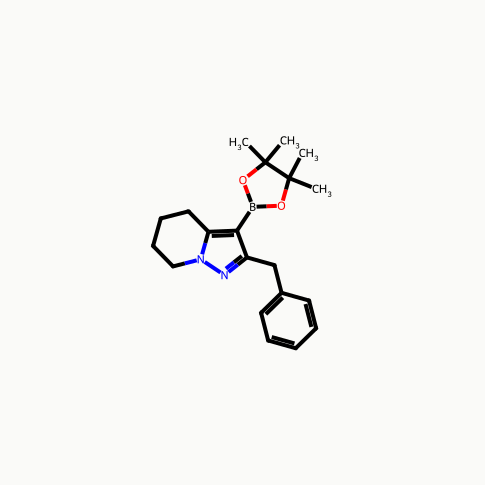 CC1(C)OB(c2c(Cc3ccccc3)nn3c2CCCC3)OC1(C)C